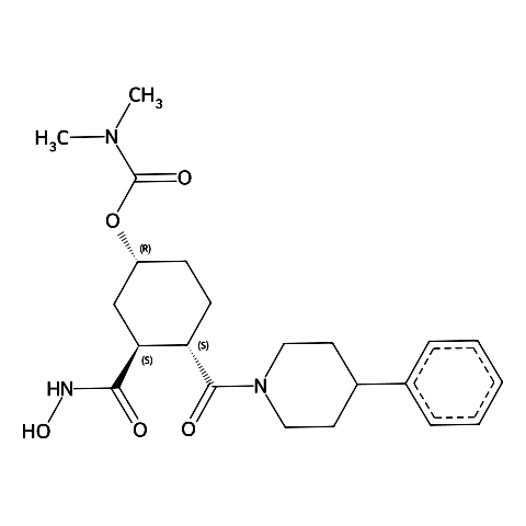 CN(C)C(=O)O[C@@H]1CC[C@H](C(=O)N2CCC(c3ccccc3)CC2)[C@@H](C(=O)NO)C1